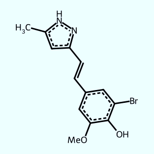 COc1cc(C=Cc2cc(C)[nH]n2)cc(Br)c1O